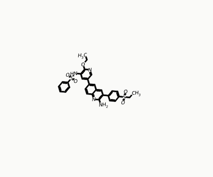 CCOc1ncc(-c2ccc3nc(N)c(-c4ccc(S(=O)(=O)CC)cc4)cc3c2)cc1NS(=O)(=O)c1ccccc1